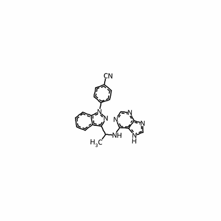 CC(Nc1ncnc2nc[nH]c12)c1nn(-c2ccc(C#N)cc2)c2ccccc12